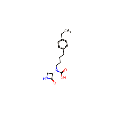 CCc1ccc(CCCCN(C(=O)O)[C@H]2CNC2=O)cc1